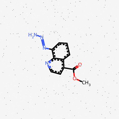 COC(=O)c1ccnc2c(N=NN)cccc12